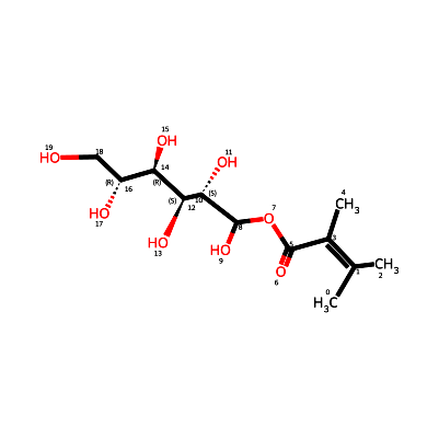 CC(C)=C(C)C(=O)OC(O)[C@@H](O)[C@@H](O)[C@H](O)[C@H](O)CO